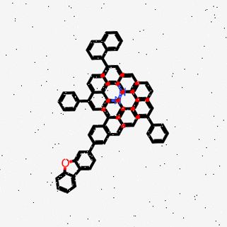 c1ccc(-c2ccc(-c3ccccc3N(c3ccccc3-c3ccccc3N(c3ccc(-c4cccc5ccccc45)cc3)c3ccc4c(ccc5cc(-c6ccc7c(c6)oc6ccccc67)ccc54)c3)c3ccc(-c4ccccc4)c4ccccc34)cc2)cc1